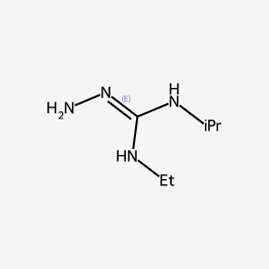 CCN/C(=N\N)NC(C)C